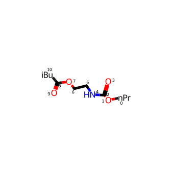 CCCOC(=O)NCCOC(=O)C(C)CC